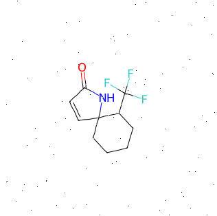 O=C1C=CC2(CCCCC2C(F)(F)F)N1